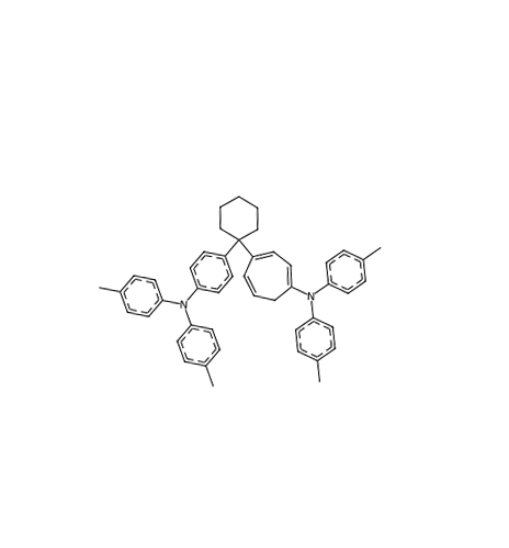 Cc1ccc(N(C2=CC=C(C3(c4ccc(N(c5ccc(C)cc5)c5ccc(C)cc5)cc4)CCCCC3)C=CC2)c2ccc(C)cc2)cc1